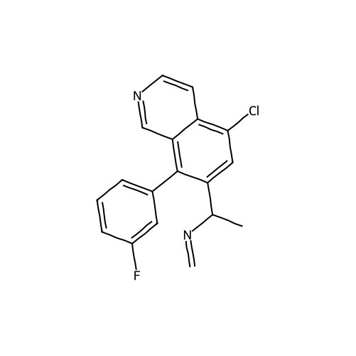 C=NC(C)c1cc(Cl)c2ccncc2c1-c1cccc(F)c1